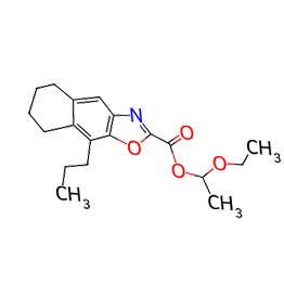 CCCc1c2c(cc3nc(C(=O)OC(C)OCC)oc13)CCCC2